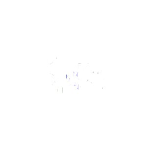 FC(F)(F)c1ccccc1-c1nc(Cl)n(-c2ccccc2Cl)n1